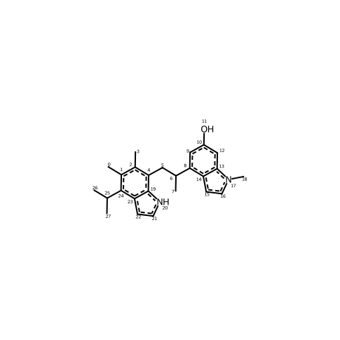 Cc1c(C)c(CC(C)c2cc(O)cc3c2ccn3C)c2[nH]ccc2c1C(C)C